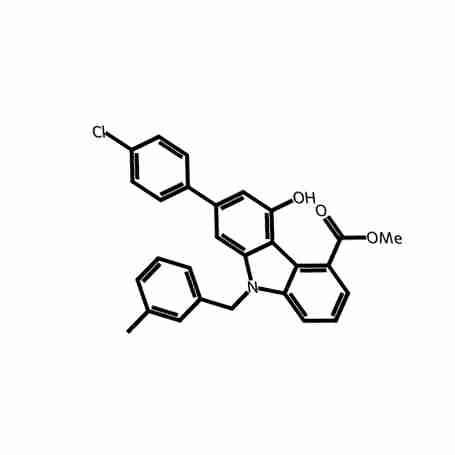 COC(=O)c1cccc2c1c1c(O)cc(-c3ccc(Cl)cc3)cc1n2Cc1cccc(C)c1